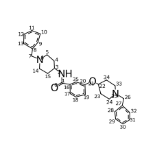 O=C(NC1CCN(Cc2ccccc2)CC1)c1cccc(OC2CCN(Cc3ccccc3)CC2)c1